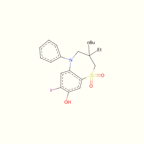 CCCCC1(CC)CN(c2ccccc2)c2cc(I)c(O)cc2S(=O)(=O)C1